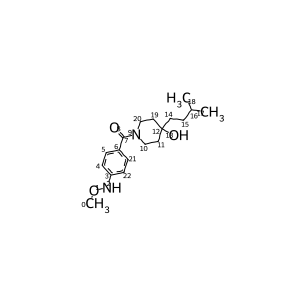 CONc1ccc(C(=O)N2CCC(O)(CCC(C)C)CC2)cc1